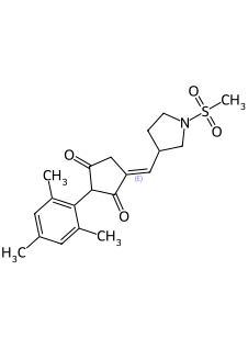 Cc1cc(C)c(C2C(=O)C/C(=C\C3CCN(S(C)(=O)=O)C3)C2=O)c(C)c1